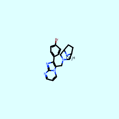 O=C(O)N1C2CCC1CN(Cc1c(-c3ccc(Br)cc3)nc3ncccn13)C2